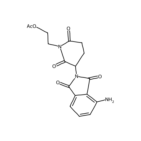 CC(=O)OCCN1C(=O)CCC(N2C(=O)c3cccc(N)c3C2=O)C1=O